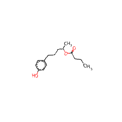 CCCC(=O)OC(C)CCCc1ccc(O)cc1